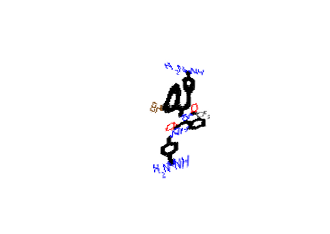 N=C(N)c1ccc(CC(CN(C(=O)C(F)(F)F)C(C(=O)NCC2CCC(C(=N)N)CC2)C2CCCCC2)c2cccc(Br)c2)cc1